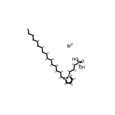 CCCCCCCCCCCCCCCCn1ccc[n+]1CCCP(=O)(O)O.[Br-]